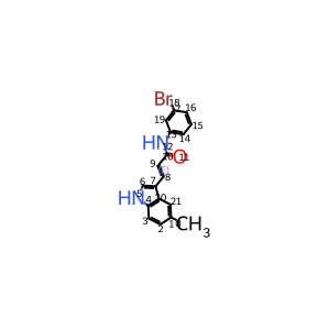 Cc1ccc2[nH]cc(/C=C/C(=O)Nc3cccc(Br)c3)c2c1